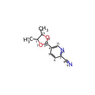 CC1OB(c2ccc(C#N)nc2)OC1C